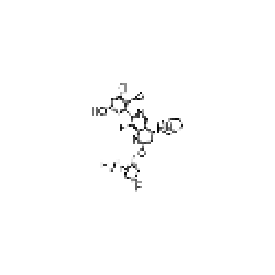 CN1C[C@H](F)C[C@H]1COc1cc(N2CC3CCC(C2)N3)c2cnc(-c3cc(O)cc(Cl)c3C3CC3)c(F)c2n1